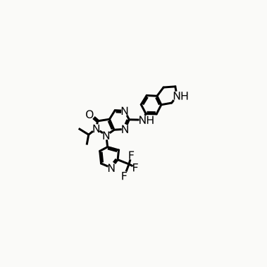 CC(C)n1c(=O)c2cnc(Nc3ccc4c(c3)CNCC4)nc2n1-c1ccnc(C(F)(F)F)c1